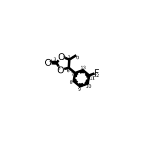 CC1OC(=O)OC1c1cccc(F)c1